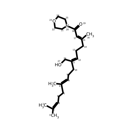 CC(C)=CCC/C(C)=C/CC/C(=C/CC/C(C)=C/C(=O)N1CCOCC1)CO